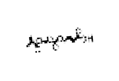 C=C(C)C(=O)OCOC(=O)OC/C=C/C(=O)O